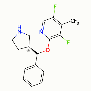 Fc1cnc(OC(c2ccccc2)[C@H]2CCNC2)c(F)c1C(F)(F)F